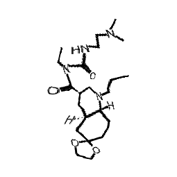 CCCN1C[C@H](C(=O)N(CC)C(=O)NCCN(C)C)C[C@@H]2CC3(CC[C@H]21)OCCO3